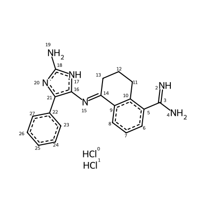 Cl.Cl.N=C(N)c1cccc2c1CCCC2=Nc1[nH]c(N)nc1-c1ccccc1